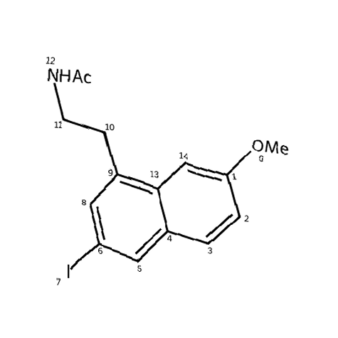 COc1ccc2cc(I)cc(CCNC(C)=O)c2c1